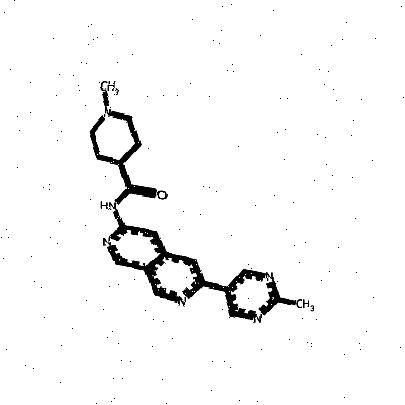 Cc1ncc(-c2cc3cc(NC(=O)C4CCN(C)CC4)ncc3cn2)cn1